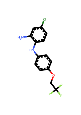 Nc1cc(Cl)ccc1Nc1ccc(OCC(F)(F)F)cc1